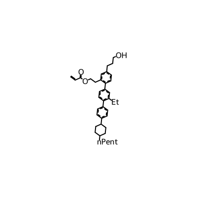 C=CC(=O)OCCc1cc(CCCO)ccc1-c1ccc(-c2ccc(C3CCC(CCCCC)CC3)cc2)c(CC)c1